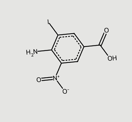 Nc1c(I)cc(C(=O)O)cc1[N+](=O)[O-]